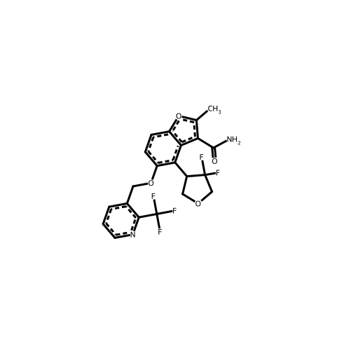 Cc1oc2ccc(OCc3cccnc3C(F)(F)F)c(C3COCC3(F)F)c2c1C(N)=O